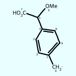 [CH2]c1ccc(C(OC)C(=O)O)cc1